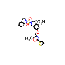 Cc1oc(-c2cccs2)nc1COc1cccc(CN(CC(=O)O)S(=O)(=O)N2CCc3ccccc32)c1